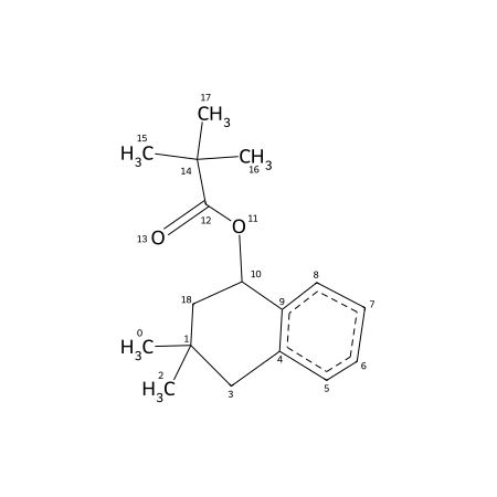 CC1(C)Cc2ccccc2C(OC(=O)C(C)(C)C)C1